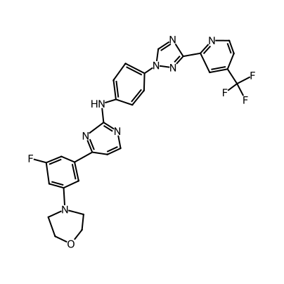 Fc1cc(-c2ccnc(Nc3ccc(-n4cnc(-c5cc(C(F)(F)F)ccn5)n4)cc3)n2)cc(N2CCOCC2)c1